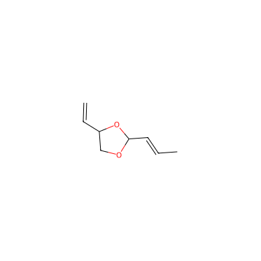 C=CC1COC(/C=C/C)O1